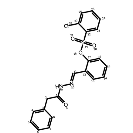 O=C(Cc1ccccc1)N/N=C/c1ccccc1OS(=O)(=O)c1ccccc1Cl